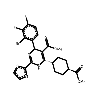 COC(=O)C1=C([C@H]2CC[C@H](C(=O)OC)CC2)NC(c2nccs2)=NC1c1ccc(F)c(F)c1Br